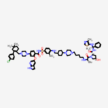 Cc1ncsc1N[C@](C)(NC(=O)[C@@H]1C[C@@H](O)CN1C(=O)C(NCCCCCN1CCN(C2CCC(CNc3ccc(S(=O)(=O)NC(=O)c4ccc(N5CCN(CC6=C(c7ccc(Cl)cc7)CC(C)(C)CC6)CC5)cc4Oc4cnc5[nH]ccc5c4)cc3[N+](=O)[O-])CC2)CC1)C(C)(C)C)c1ccccc1